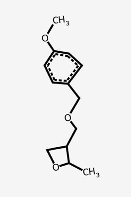 COc1ccc(COCC2COC2C)cc1